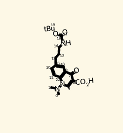 CN(C)n1cc(C(=O)O)c(=O)c2cc(CCCNC(=O)OC(C)(C)C)ccc21